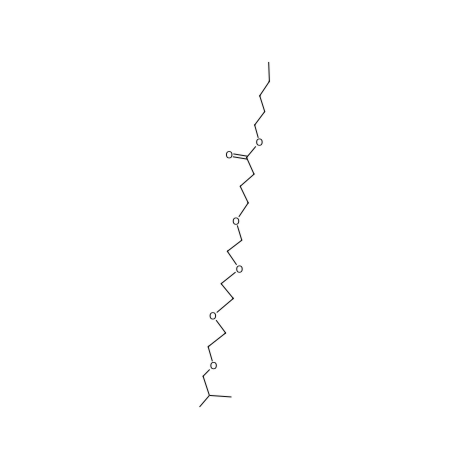 CCCCCOC(=O)CCCOCCOCCOCCOCC(C)C